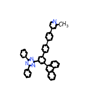 Cc1cc(-c2ccc(-c3ccc(-c4cc(-c5nc(-c6ccccc6)nc(-c6ccccc6)n5)cc(-c5cc6ccccc6c6ccccc56)c4)cc3)cc2)ccn1